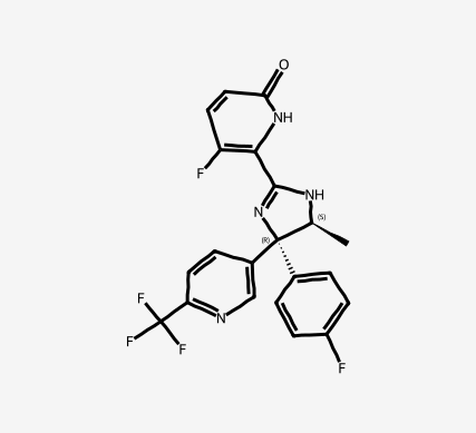 C[C@@H]1NC(c2[nH]c(=O)ccc2F)=N[C@]1(c1ccc(F)cc1)c1ccc(C(F)(F)F)nc1